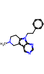 CN1CCc2c(c3cncnc3n2CCc2ccccc2)C1